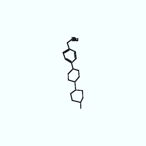 CCC(C)Cc1ccc(C2CCC(C3CCC(C)CC3)CC2)cc1